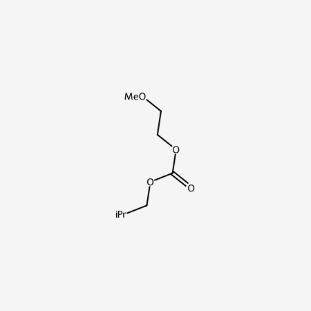 COCCOC(=O)OCC(C)C